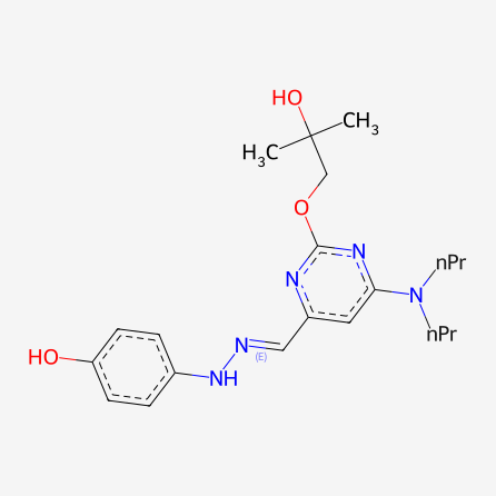 CCCN(CCC)c1cc(/C=N/Nc2ccc(O)cc2)nc(OCC(C)(C)O)n1